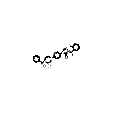 CCOC(=O)C(c1ccccc1)N1CCN(c2ccc(-n3cnn([C@H](C)c4ccccc4F)c3=O)cc2)CC1